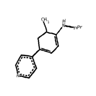 CCCNC1=CC=C(c2ccncc2)CC1C